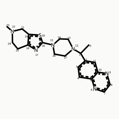 CC(c1ccc2nccnc2c1)N1CCN(c2nc3c(s2)CN(C)CC3)CC1